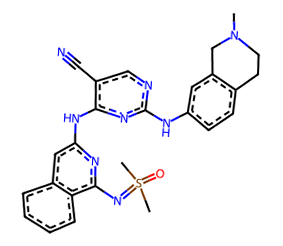 CN1CCc2ccc(Nc3ncc(C#N)c(Nc4cc5ccccc5c(N=S(C)(C)=O)n4)n3)cc2C1